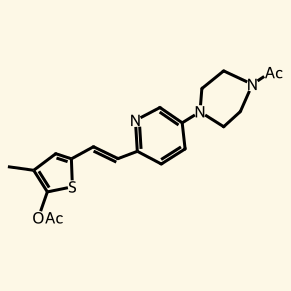 CC(=O)Oc1sc(C=Cc2ccc(N3CCN(C(C)=O)CC3)cn2)cc1C